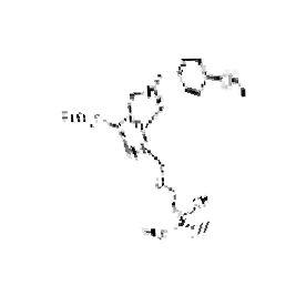 CCOC(=O)c1nn(COCC[Si](C)(C)C)c2c1CN(Cc1ccc(C(F)(F)F)cc1)C2